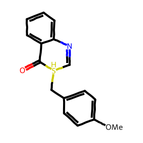 COc1ccc(C[SH]2C=Nc3ccccc3C2=O)cc1